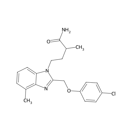 Cc1cccc2c1nc(COc1ccc(Cl)cc1)n2CCC(C)C(N)=O